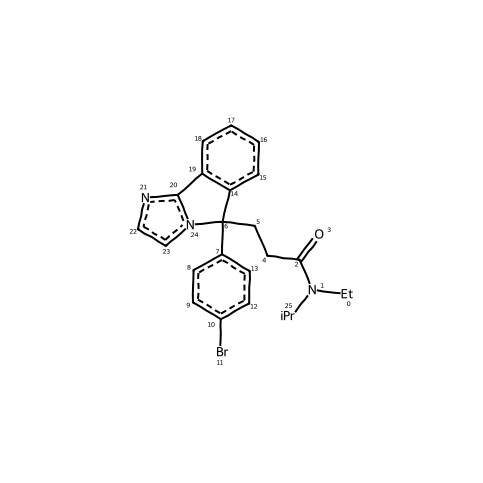 CCN(C(=O)CCC1(c2ccc(Br)cc2)c2ccccc2-c2nccn21)C(C)C